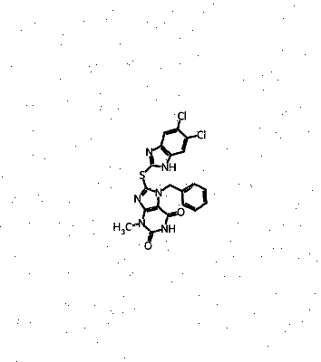 Cn1c(=O)[nH]c(=O)c2c1nc(Sc1nc3cc(Cl)c(Cl)cc3[nH]1)n2Cc1ccccc1